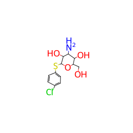 NC1C(O)C(CO)OC(Sc2ccc(Cl)cc2)C1O